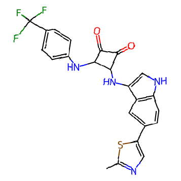 Cc1ncc(-c2ccc3[nH]cc(NC4C(=O)C(=O)C4Nc4ccc(C(F)(F)F)cc4)c3c2)s1